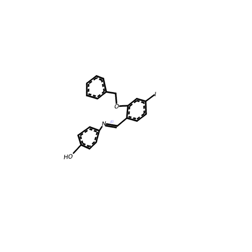 Oc1ccc(/N=C/c2ccc(I)cc2OCc2ccccc2)cc1